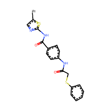 CC(C)c1cnc(NC(=O)c2ccc(NC(=O)CSc3ccccc3)cc2)s1